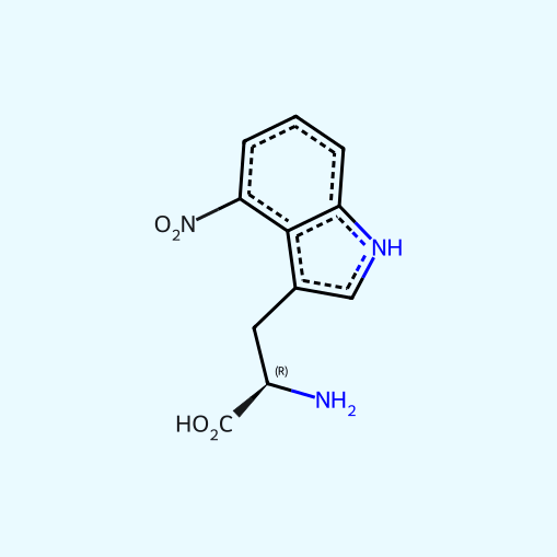 N[C@H](Cc1c[nH]c2cccc([N+](=O)[O-])c12)C(=O)O